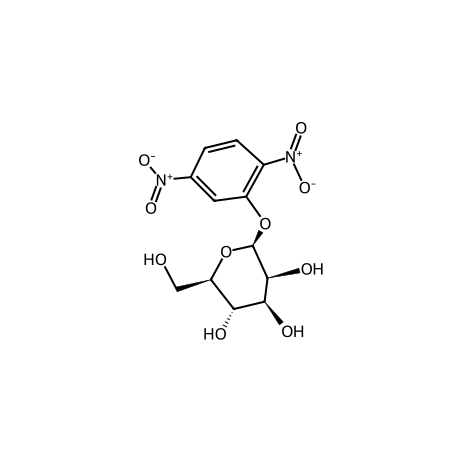 O=[N+]([O-])c1ccc([N+](=O)[O-])c(O[C@@H]2O[C@H](CO)[C@@H](O)[C@H](O)[C@@H]2O)c1